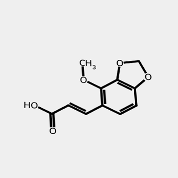 COc1c(C=CC(=O)O)ccc2c1OCO2